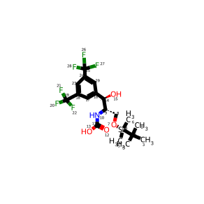 CC(C)(C)[Si](C)(C)OC[C@H](NC(=O)O)[C@H](O)c1cc(C(F)(F)F)cc(C(F)(F)F)c1